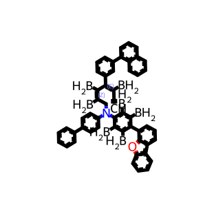 B/C(CN(c1ccc(-c2ccccc2)cc1)c1c(B)c(B)c(-c2cccc3c2oc2ccccc23)c(B)c1B)=C(B)/C(=C(/B)C#C)c1cccc(-c2cccc3ccccc23)c1